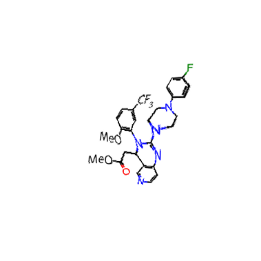 COC(=O)CC1c2cnccc2N=C(N2CCN(c3ccc(F)cc3)CC2)N1c1cc(C(F)(F)F)ccc1OC